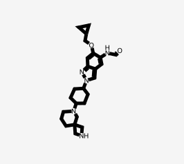 O=CNc1cc2cn(C3CCC(N4CCCC5(CNC5)C4)CC3)nc2cc1OCC1CC1